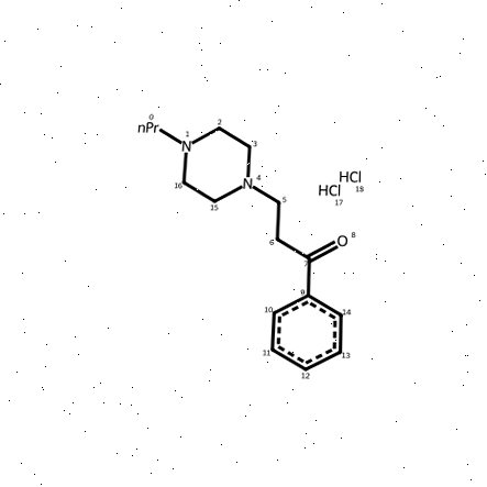 CCCN1CCN(CCC(=O)c2ccccc2)CC1.Cl.Cl